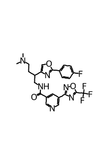 CN(C)CCC(CNC(=O)c1cncc(-c2noc(C(F)(F)F)n2)c1)c1coc(-c2ccc(F)cc2)n1